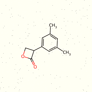 Cc1cc(C)cc(C2COC2=O)c1